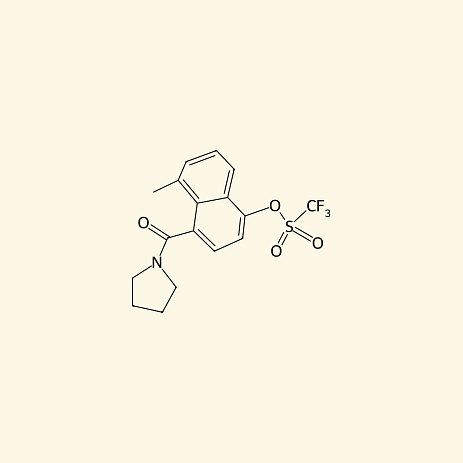 Cc1cccc2c(OS(=O)(=O)C(F)(F)F)ccc(C(=O)N3CCCC3)c12